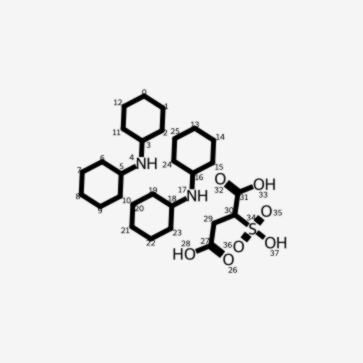 C1CCC(NC2CCCCC2)CC1.C1CCC(NC2CCCCC2)CC1.O=C(O)CC(C(=O)O)S(=O)(=O)O